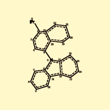 CC(C)c1ccc(-n2c3ccccc3c3ccccc32)c2ccccc12